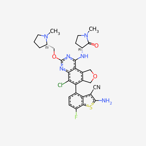 CN1CC[C@@H](Nc2nc(OC[C@@H]3CCCN3C)nc3c(Cl)c(-c4ccc(F)c5sc(N)c(C#N)c45)c4c(c23)COC4)C1=O